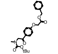 CN(CC(=O)c1ccc(OCC(=O)OCc2ccccc2)cc1)C(=O)OC(C)(C)C